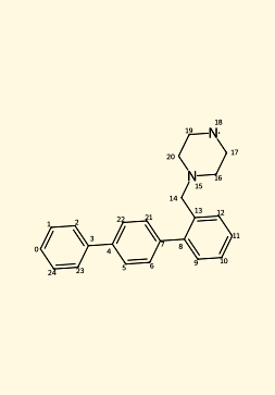 c1ccc(-c2ccc(-c3ccccc3CN3CC[N]CC3)cc2)cc1